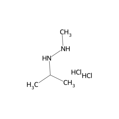 CNNC(C)C.Cl.Cl